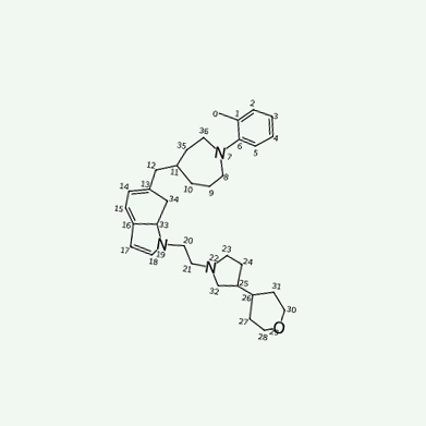 Cc1ccccc1N1CCCC(CC2=CC=C3C=CN(CCN4CCC(C5CCOCC5)C4)C3C2)CC1